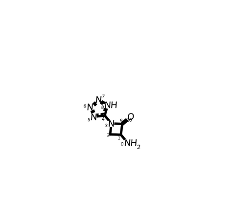 NC1CN(c2nnn[nH]2)C1=O